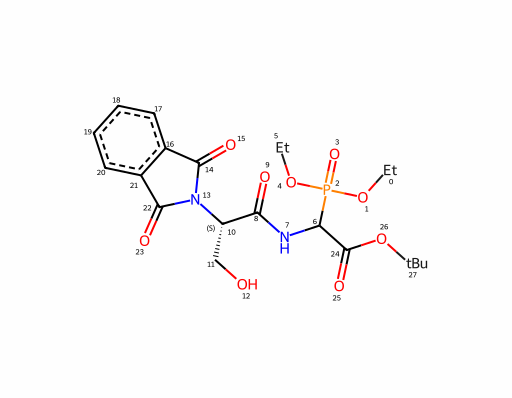 CCOP(=O)(OCC)C(NC(=O)[C@H](CO)N1C(=O)c2ccccc2C1=O)C(=O)OC(C)(C)C